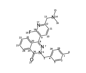 Cc1ccc(Cn2nc(-c3ccc(CN(C)C)nc3F)c3ccccc3c2=O)cc1